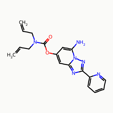 C=CCN(CC=C)C(=O)Oc1cc(N)n2nc(-c3ccccn3)nc2c1